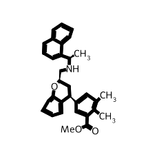 COC(=O)c1cc([C@@H]2C[C@H](CN[C@H](C)c3cccc4ccccc34)Oc3ccccc32)cc(C)c1C